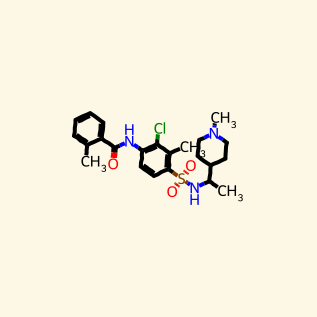 Cc1ccccc1C(=O)Nc1ccc(S(=O)(=O)NC(C)C2CCN(C)CC2)c(C)c1Cl